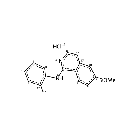 COc1ccc2c(Nc3ccccc3C)nccc2c1.Cl